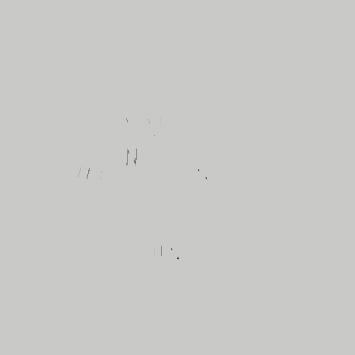 CN(C(=O)O)C1CC(CN)N(Cc2ccccc2)C1